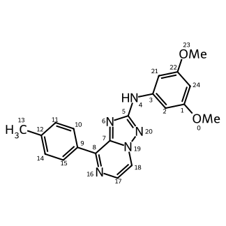 COc1cc(Nc2nc3c(-c4ccc(C)cc4)nccn3n2)cc(OC)c1